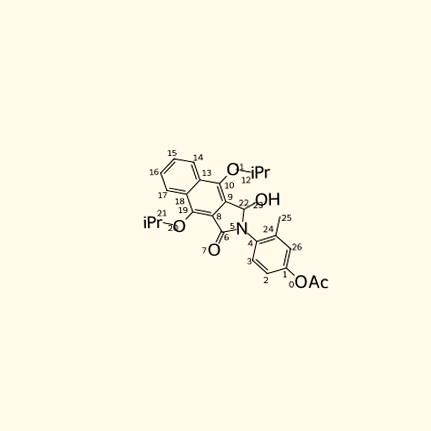 CC(=O)Oc1ccc(N2C(=O)c3c(c(OC(C)C)c4ccccc4c3OC(C)C)C2O)c(C)c1